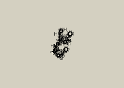 Cc1nn(-c2ccc(Cl)c(C(=O)NCC3(O)CCCCCC3)c2)c(=O)n1CC(=O)NC1CCNC1.Cc1nn(-c2ccc(Cl)c(C(=O)NCC3(O)CCCCCC3)c2)c(=O)n1CC(=O)NC1CCNCC1